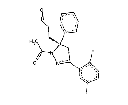 CC(=O)N1N=C(c2cc(F)ccc2F)C[C@@]1(CCC=O)c1ccccc1